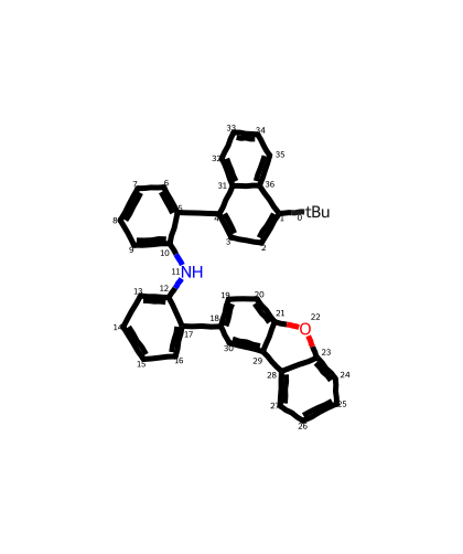 CC(C)(C)c1ccc(-c2ccccc2Nc2ccccc2-c2ccc3oc4ccccc4c3c2)c2ccccc12